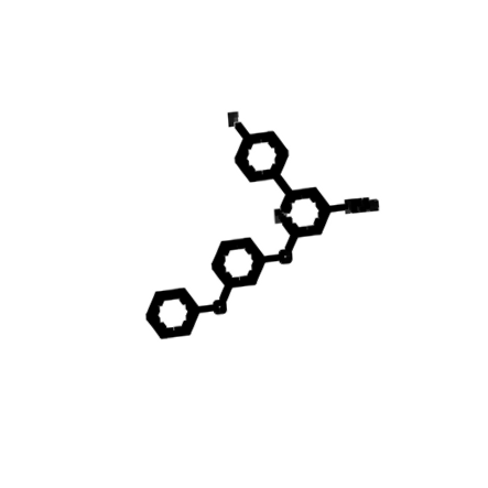 CNc1cc(Oc2cccc(Oc3ccccc3)c2)nc(-c2ccc(F)cc2)c1